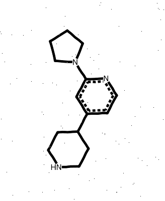 c1cc(C2CCNCC2)cc(N2CCCC2)n1